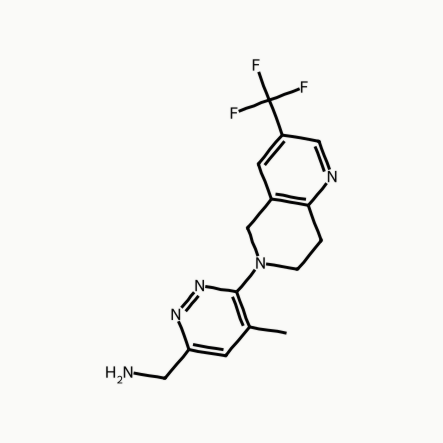 Cc1cc(CN)nnc1N1CCc2ncc(C(F)(F)F)cc2C1